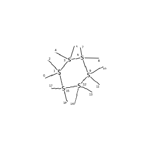 CS1(C)S(C)(C)S(C)(C)S(C)(C)S(C)(C)S1(C)C